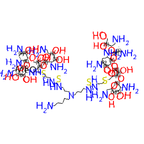 COC(CSCCNC(=S)NCCCN(CCCCCN)CCCCNC(=S)NCCSCC1O[C@@H](OC2[C@H](O[C@@H](OC(CN)[C@@H](O)CO)[C@H](C)N)C(N)C[C@@H](N)[C@H]2O)[C@@H](O)[C@H]1O[C@H]1OC(CN)[C@@H](O)[C@@H](O)C1N)[C@H](O[C@H]1OC(CN)[C@@H](O)[C@@H](O)C1N)[C@H](O)COC1[C@H](O[C@@H]2OC(CN)[C@@H](O)[C@H](O)C2N)C(N)C[C@@H](N)[C@H]1O